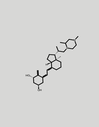 C=C1C(=CC=C2CCC[C@]3(C)[C@@H](C(C)CN4CCN(C)CC4C)CC[C@@H]23)C[C@@H](O)C[C@@H]1O